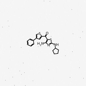 Nc1nc(NC2CCCC2)sc1C(=O)c1cc(-c2ccccc2)cs1